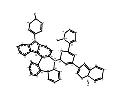 CC1C=CC(n2c3ccccc3c3c4c(ccc32)N(C2C=C(C3=CC[C@@H]5C=CC=CC5=C3)C=C(C3=CC=CCN3C)N2)C2C=CC=CC2c2ccccc2-4)=CC1